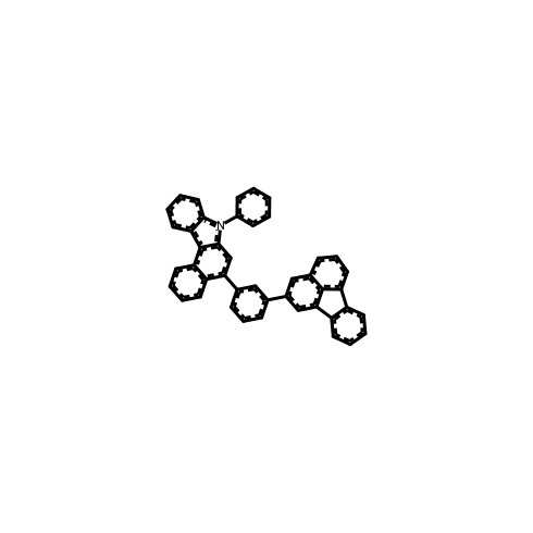 c1ccc(-n2c3ccccc3c3c4ccccc4c(-c4cccc(-c5cc6c7c(cccc7c5)-c5ccccc5-6)c4)cc32)cc1